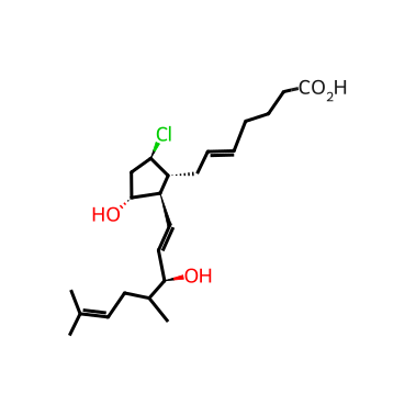 CC(C)=CCC(C)[C@H](O)C=C[C@@H]1[C@@H](CC=CCCCC(=O)O)[C@H](Cl)C[C@H]1O